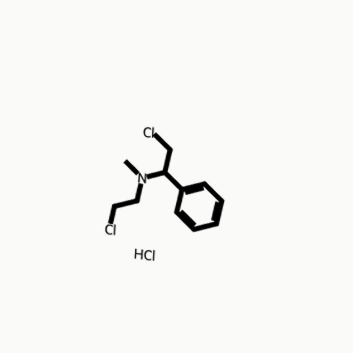 CN(CCCl)C(CCl)c1ccccc1.Cl